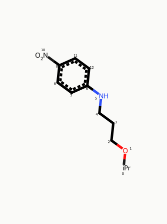 CC(C)OCCCNc1ccc([N+](=O)[O-])cc1